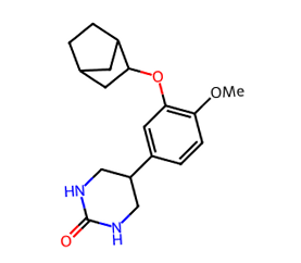 COc1ccc(C2CNC(=O)NC2)cc1OC1CC2CCC1C2